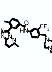 Cc1ccc2nnc(-c3cc(C(=O)Nc4ccc(CN5CCN(C)CC5)c(C(F)(F)F)c4)ccc3C)n2n1